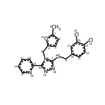 Cc1ccc(Cn2c(SCc3ccc(Cl)c(Cl)c3)nnc2-c2ccccn2)o1